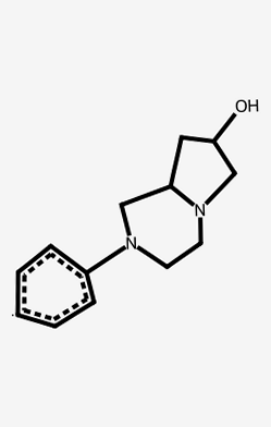 OC1CC2CN(c3cc[c]cc3)CCN2C1